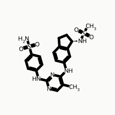 Cc1cnc(Nc2ccc(S(N)(=O)=O)cc2)nc1Nc1ccc2c(c1)[C@@H](NS(C)(=O)=O)CC2